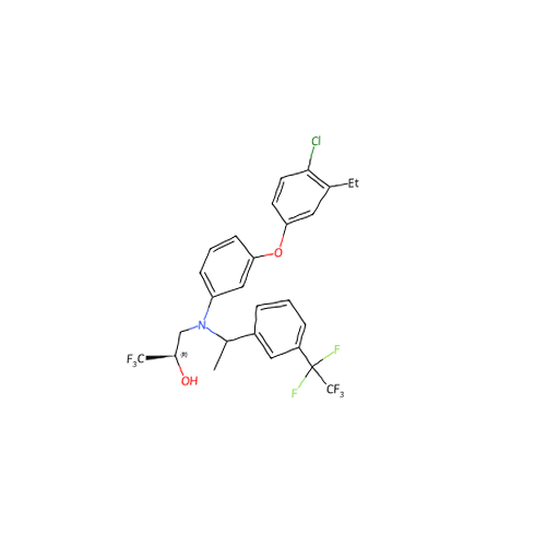 CCc1cc(Oc2cccc(N(C[C@@H](O)C(F)(F)F)C(C)c3cccc(C(F)(F)C(F)(F)F)c3)c2)ccc1Cl